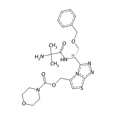 CC(C)(N)C(=O)N[C@H](COCc1ccccc1)c1nnc2scc(COC(=O)N3CCOCC3)n12